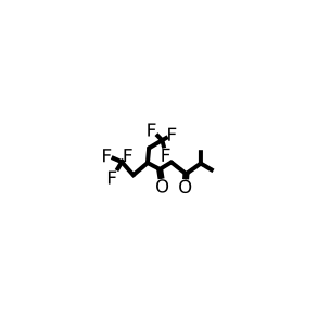 CC(C)C(=O)CC(=O)C(CC(F)(F)F)CC(F)(F)F